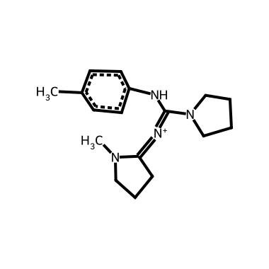 Cc1ccc(NC(=[N+]=C2CCCN2C)N2CCCC2)cc1